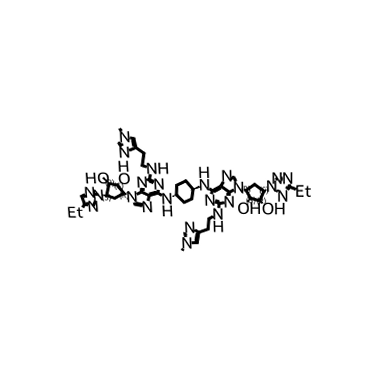 CCc1cnn([C@H]2C[C@@H](n3cnc4c(N[C@H]5CC[C@H](Nc6nc(NCCc7cn(C)cn7)nc7c6ncn7[C@@H]6C[C@H](n7nnc(CC)n7)[C@@H](O)[C@H]6O)CC5)nc(NCCc5cn(C)cn5)nc43)[C@H](O)[C@@H]2O)n1